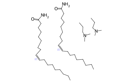 CCCCCCCC/C=C\CCCCCCCC(N)=O.CCCCCCCC/C=C\CCCCCCCC(N)=O.CCCN(C)C.CCCN(C)C